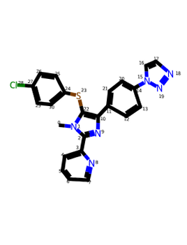 Cn1c(-c2ccccn2)nc(-c2ccc(-n3ccnn3)cc2)c1Sc1ccc(Cl)cc1